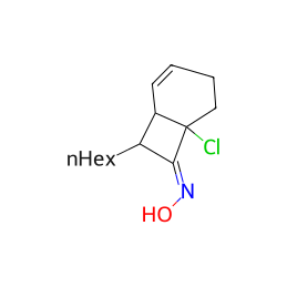 CCCCCCC1C(=NO)C2(Cl)CCC=CC12